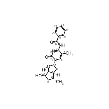 Cc1cn([C@@H]2C[C@@H]3[C@H](O2)[C@H](O)C[C@H]3C)c(=O)nc1NC(=O)c1ccccc1